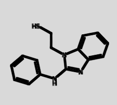 SCCn1c(Nc2ccccc2)nc2ccccc21